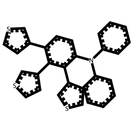 c1ccc(N(c2ccccc2)c2ccc(-c3ccsc3)c(-c3ccsc3)c2-c2ccsc2)cc1